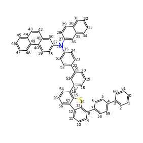 c1ccc(-c2ccc(-c3cccc4c3sc3c(-c5cccc(-c6ccc(N(c7ccc8ccccc8c7)c7ccc8c(ccc9ccccc98)c7)cc6)c5)cccc34)cc2)cc1